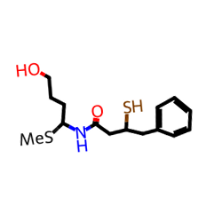 CSC(CCCO)NC(=O)CC(S)Cc1ccccc1